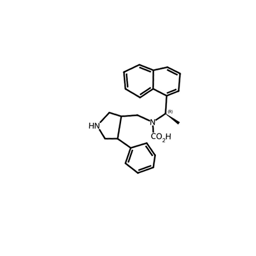 C[C@H](c1cccc2ccccc12)N(CC1CNCC1c1ccccc1)C(=O)O